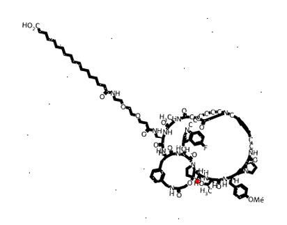 COc1ccc(C[C@@H]2NC(=O)[C@H]([C@@H](C)O)NC(=O)[C@@H]3[C@@H]4CCN3C(=O)[C@@H]3Cc5cn(c6ccc(F)cc56)CCCCCCN(Cc5ccc(cc5)CCNC(=O)[C@@]56C=C2N5CCC6)C(=O)CCC(=O)N[C@@H](C)C(=O)N[C@H](CNC(=O)CCOCCOCCNC(=O)CCCCCCCCCCCCCCCCC(=O)O)C(=O)N[C@@H](Cc2cccc(c2)CNC(=O)CO4)C(=O)N3)cc1